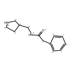 O=C(Cc1ccccc1)NCC1CCNC1